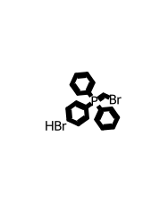 Br.BrC=P(c1ccccc1)(c1ccccc1)c1ccccc1